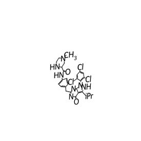 CC(C)c1[nH]n(-c2c(Cl)cc(Cl)cc2Cl)c2nc(Cc3ccc(NC(=O)C4CN(C)CCN4)cc3)nc(=O)c1-2